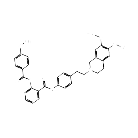 COc1ccc(C(=O)Nc2ccccc2C(=O)Nc2ccc(CCN3CCc4cc(OC)c(OC)cc4C3)cc2)cc1